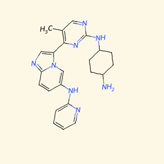 Cc1cnc(NC2CCC(N)CC2)nc1-c1cnc2ccc(Nc3ccccn3)cn12